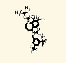 CC(=O)N(Cc1cc(C(F)(F)F)cc(C(F)(F)F)c1)C1CCCN(C(=O)OC(C)C)c2c1ccc(C)c2C